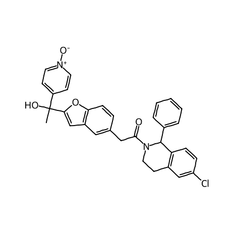 CC(O)(c1cc[n+]([O-])cc1)c1cc2cc(CC(=O)N3CCc4cc(Cl)ccc4C3c3ccccc3)ccc2o1